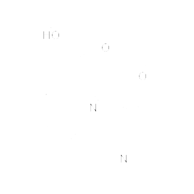 O=C(O)C1CCc2cncc(=O)n21